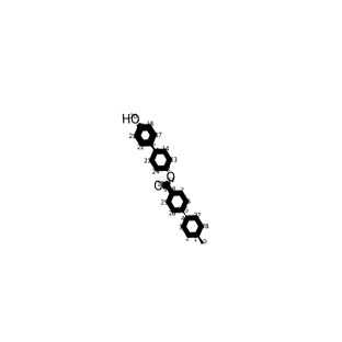 C[C@H]1CC[C@H](C2CCC(C(=O)O[C@H]3CC[C@H](c4ccc(O)cc4)CC3)CC2)CC1